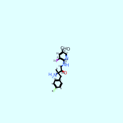 CC(N)(Cc1ccc(F)cc1)C(=O)CNc1ncc(C=O)cc1I